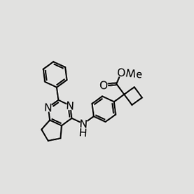 COC(=O)C1(c2ccc(Nc3nc(-c4ccccc4)nc4c3CCC4)cc2)CCC1